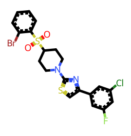 O=S(=O)(c1ccccc1Br)C1CCN(c2nc(-c3cc(F)cc(Cl)c3)cs2)CC1